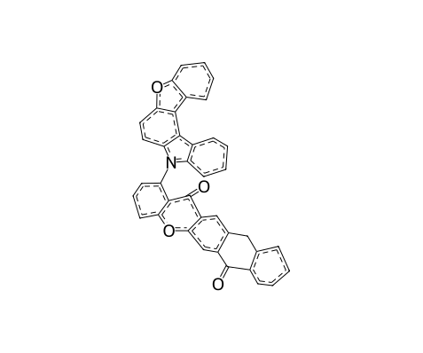 O=C1c2ccccc2Cc2cc3c(=O)c4c(-n5c6ccccc6c6c7c(ccc65)oc5ccccc57)cccc4oc3cc21